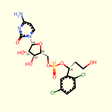 Nc1ccn([C@@H]2O[C@H](CO[PH](=O)O[C@H](CCO)c3cc(Cl)ccc3Cl)[C@@H](O)[C@@H]2O)c(=O)n1